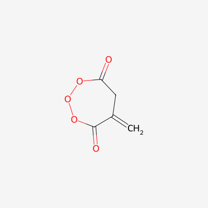 C=C1CC(=O)OOOC1=O